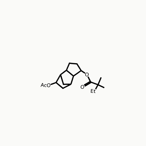 CCC(C)(C)C(=O)OC1CCC2C3CC(CC3OC(C)=O)C12